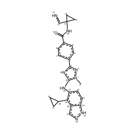 Cn1nc(-c2ccc(C(=O)NC3(C=N)CC3)cc2)nc1Nc1ccc2[nH]ncc2c1C1CC1